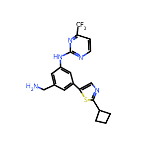 NCc1cc(Nc2nccc(C(F)(F)F)n2)cc(-c2cnc(C3CCC3)s2)c1